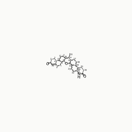 O=C1CCc2c(ccc3c4c(ccc23)=C(I)c2ccc3c5c(ccc3c2O4)NC(=O)CC5)=N1